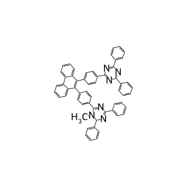 CN1C(c2ccc(-c3c(-c4ccc(-c5nc(-c6ccccc6)nc(-c6ccccc6)n5)cc4)c4ccccc4c4ccccc34)cc2)=NC(c2ccccc2)=NC1c1ccccc1